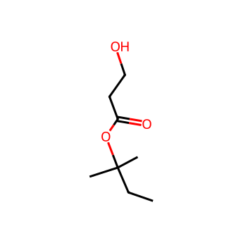 CCC(C)(C)OC(=O)CCO